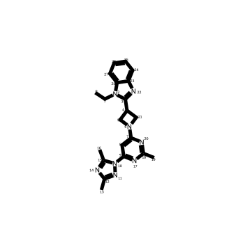 CCn1c(C2CN(c3cc(-n4nc(C)nc4C)nc(C)n3)C2)nc2ccccc21